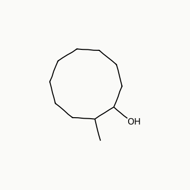 CC1CCCCCCCCC1O